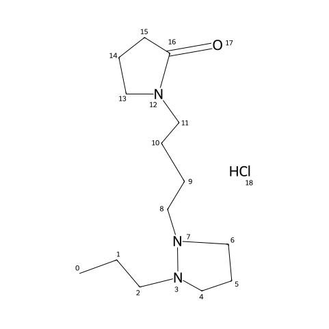 CCCN1CCCN1CCCCN1CCCC1=O.Cl